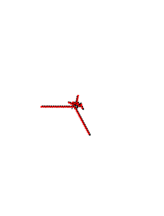 CCCCCCC1=C(c2ccc(CCCC)cc2)[N+](=[N-])C(c2ccc(CCCC)cc2)=C1.CCCCCCCCCCCCCCCCCCCCCCCCCCCCC[CH2][Ni][CH2]CCCCCCCCCCCCCCCCCCCCCCCCCCCCC